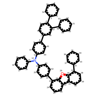 c1ccc(-c2ccc(-c3ccc(N(c4ccccc4)c4ccc(-c5cccc6c5oc5c(-c7ccccc7)cccc56)cc4)cc3)cc2-c2ccccc2)cc1